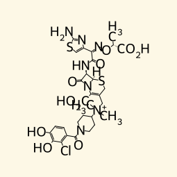 C[C@@H](O/N=C(\C(=O)N[C@@H]1C(=O)N2C(C(=O)O)=C(C[N+](C)(C)C3CCN(C(=O)c4ccc(O)c(O)c4Cl)CC3)CS[C@H]12)c1csc(N)n1)C(=O)O